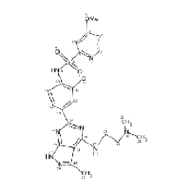 COc1ccnc(S(=O)(=O)Nc2ccc(-c3nc(NCCN(C)C)c4c(C)n[nH]c4n3)cc2Cl)c1